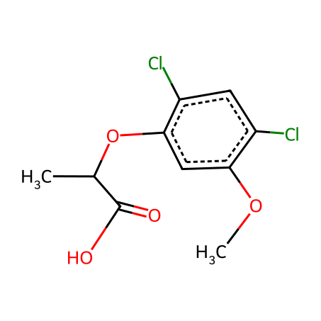 COc1cc(OC(C)C(=O)O)c(Cl)cc1Cl